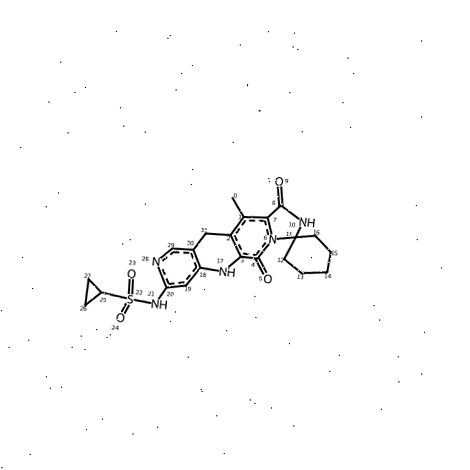 Cc1c2c(c(=O)n3c1C(=O)NC31CCCCC1)Nc1cc(NS(=O)(=O)C3CC3)ncc1C2